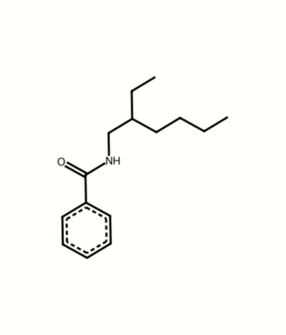 CCCCC(CC)CNC(=O)c1ccccc1